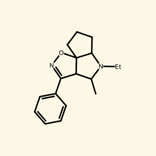 CCN1C(C)C2C(c3ccccc3)=NOC23CCCC13